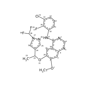 COc1cc2ncnc(Nc3cccc(Cl)c3F)c2cc1OC(C)c1cnn(C(F)F)c1